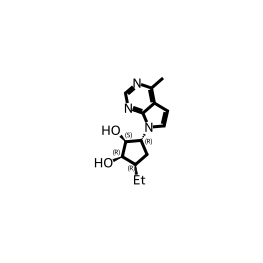 CC[C@@H]1C[C@@H](n2ccc3c(C)ncnc32)[C@H](O)[C@@H]1O